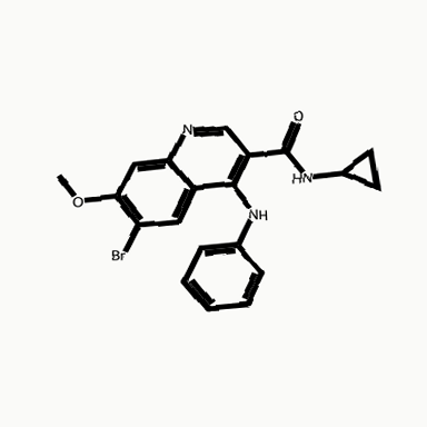 COc1cc2ncc(C(=O)NC3CC3)c(Nc3ccccc3)c2cc1Br